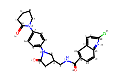 O=C(NCC1CC(=O)N(c2ccc(N3CCCCC3=O)cc2)C1)c1ccc2nc(Cl)ccc2c1